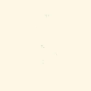 CC(C)(C)OC(=O)N1CC2CC(O)CC21